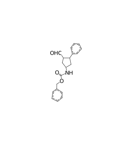 O=CC1CC(NC(=O)OCc2ccccc2)CC1c1ccccc1